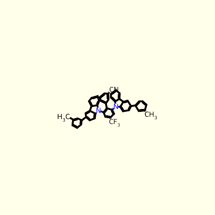 Cc1cccc(-c2ccc3c(c2)c2ccccc2n3-c2cc(C(F)(F)F)cc(-n3c4ccccc4c4cc(-c5cccc(C)c5)ccc43)c2-c2cccc(C#N)c2)c1